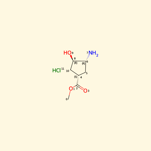 COC(=O)[C@H]1C[C@@H](N)[C@H](O)C1.Cl